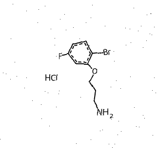 Cl.NCCCOc1cc(F)ccc1Br